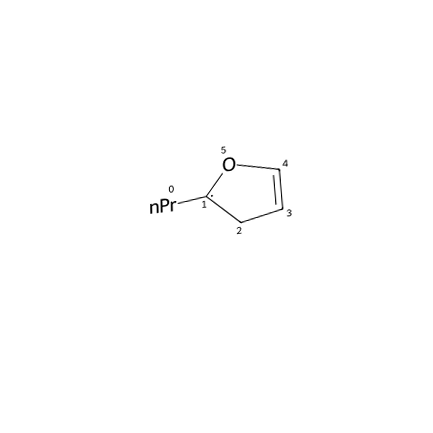 CCC[C]1CC=CO1